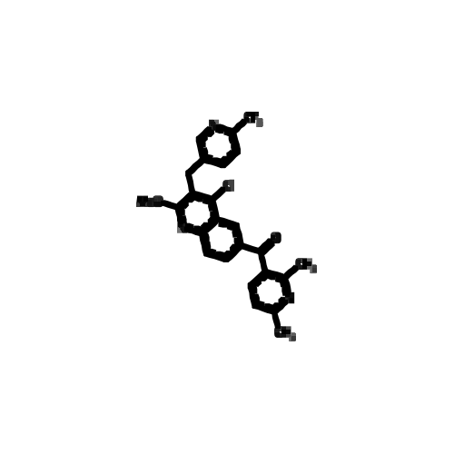 COc1nc2ccc(C(=O)c3ccc(C)nc3C)cc2c(Cl)c1Cc1ccc(C(F)(F)F)nc1